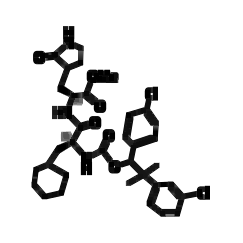 COC(=O)[C@H](CC1CCNC1=O)NC(=O)[C@H](CC1CCCCC1)NC(=O)OC(c1ccc(Cl)cc1)C(C)(C)c1cccc(Cl)c1